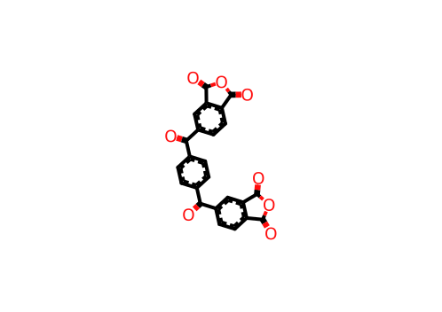 O=C(c1ccc(C(=O)c2ccc3c(c2)C(=O)OC3=O)cc1)c1ccc2c(c1)C(=O)OC2=O